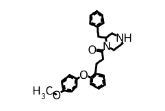 COc1ccc(Oc2ccccc2CCC(=O)N2CCNCC2Cc2ccccc2)cc1